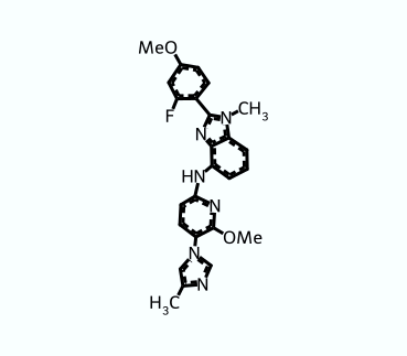 COc1ccc(-c2nc3c(Nc4ccc(-n5cnc(C)c5)c(OC)n4)cccc3n2C)c(F)c1